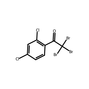 O=C(c1ccc(Cl)cc1Cl)C(Br)(Br)Br